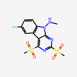 CNn1c2ccc(F)cc2c2c(S(C)(=O)=O)nc(S(C)(=O)=O)nc21